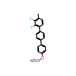 CCCCCCCCOc1ccc(-c2ccc(-c3ccc(C)c(F)c3F)cc2)cc1